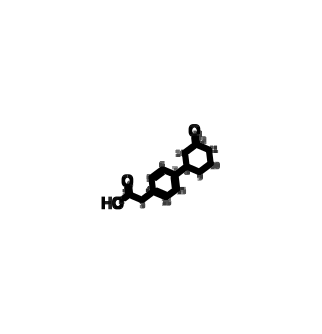 O=C(O)Cc1ccc(C2CCCC(=O)C2)cc1